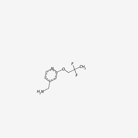 CC(F)(F)COc1cc(CN)ccn1